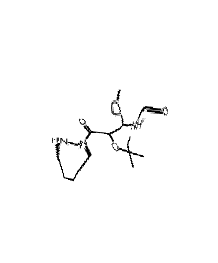 COC(NC=O)C(OC(C)(C)C)C(=O)N1CCCCN1